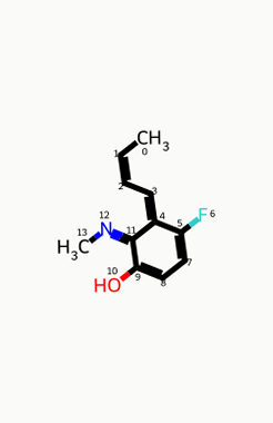 C\C=C/C=C1/C(F)=CC=C(O)/C1=N\C